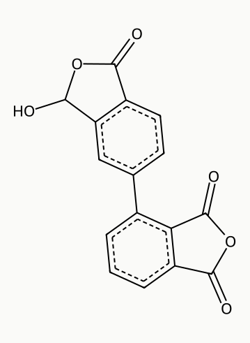 O=C1OC(O)c2cc(-c3cccc4c3C(=O)OC4=O)ccc21